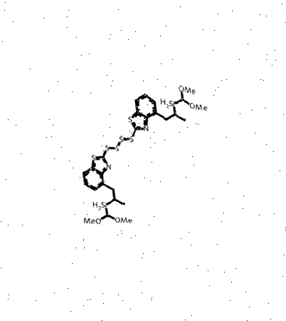 COC(OC)[SiH2]C(C)Cc1cccc2sc(SSSSc3nc4c(CC(C)[SiH2]C(OC)OC)cccc4s3)nc12